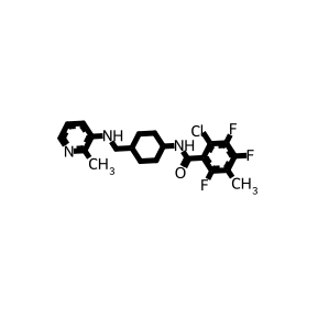 Cc1ncccc1NCC1CCC(NC(=O)c2c(F)c(C)c(F)c(F)c2Cl)CC1